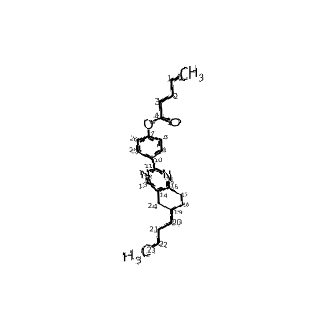 CCCCC(=O)Oc1ccc(-c2ncc3c(n2)CCC(CCCC)C3)cc1